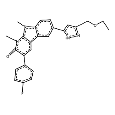 CCOCc1cc(-c2ccc3c(c2)c2cc(-c4ccc(F)cc4)c(=O)n(C)c2n3C)[nH]n1